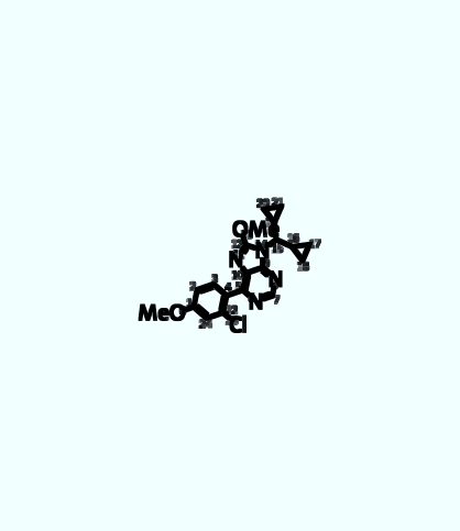 COc1ccc(-c2ncnc3c2nc(OC)n3C(C2CC2)C2CC2)c(Cl)c1